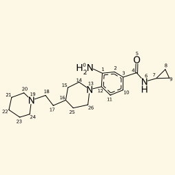 Nc1cc(C(=O)NC2CC2)ccc1N1CCC(CCN2CCCCC2)CC1